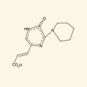 O=C(O)/C=C/c1c[nH]c(=O)c(N2CCCCC2)n1